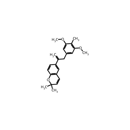 C=C(Cc1cc(OC)c(C)c(OC)c1)c1ccc2c(c1)C=CC(C)(C)O2